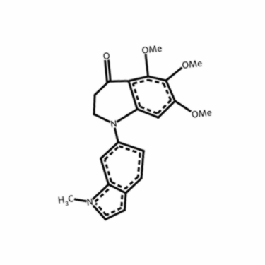 COc1cc2c(c(OC)c1OC)C(=O)CCN2c1ccc2ccn(C)c2c1